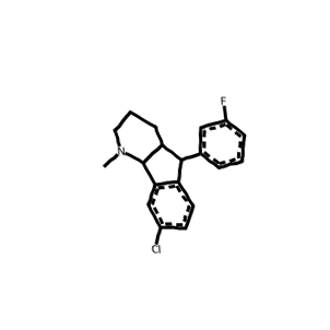 CN1CCCC2C(c3cccc(F)c3)c3ccc(Cl)cc3C21